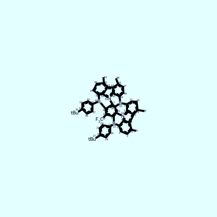 Cc1ccc2c3c1c1c(C)ccc4c1n3-c1c3c5c(c(C(F)(F)F)c1B2c1ccc(C(C)(C)C)cc1)B(c1ccc(C(C)(C)C)cc1)c1ccc(C)c2c6c(C)ccc(c6n-5c12)B34